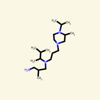 CC(CN)CN(CCCN1CCN(C(C)C)C(C)C1)C(C)C(C)C